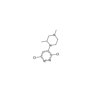 CC1CN(C)CCN1c1cc(Cl)nnc1Cl